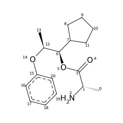 C[C@H](N)C(=O)O[C@H](C1CCCC1)[C@H](C)Oc1ccccc1